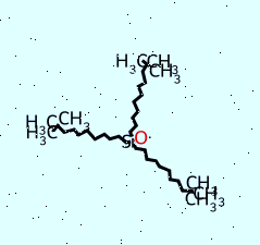 CC(C)(C)CCCCCCCCC[Si]([O])(CCCCCCCCCC(C)(C)C)CCCCCCCCCC(C)(C)C